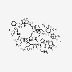 C/C=C1\NC(=O)C(Cc2ccccc2)NC(=O)C(C(C)C)NC(=O)C(C(C)CC)NC(=O)C(NC(=O)C(NC(=O)C(CCCN)NC(=O)C2CCCN2C(=O)C(NC(=O)C(NC(=O)C(NC(=O)C(NC(=O)CCC(C)CC)C(C)C)C(C)O)C(C)C)C(C)C)C(C)CC)C(C)OC(=O)C(C(C)C)NC1=O